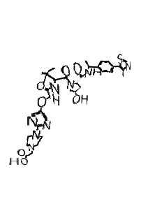 Cc1ncsc1-c1ccc([C@H](C)NC(=O)[C@@H]2C[C@@H](O)CN2C(=O)[C@@H](NC(=O)COc2cnc(N3CCN(CC(=O)O)CC3)nc2)C(C)(C)C)cc1